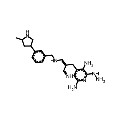 CC1CC(c2cccc(CN/C=C(\C=N)Cc3cc(N)nc(NN)c3N)c2)CN1